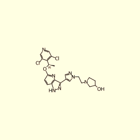 C[C@@H](Oc1ccc2[nH]nc(-c3cnn(CCN4CCC(O)C4)c3)c2n1)c1c(Cl)cncc1Cl